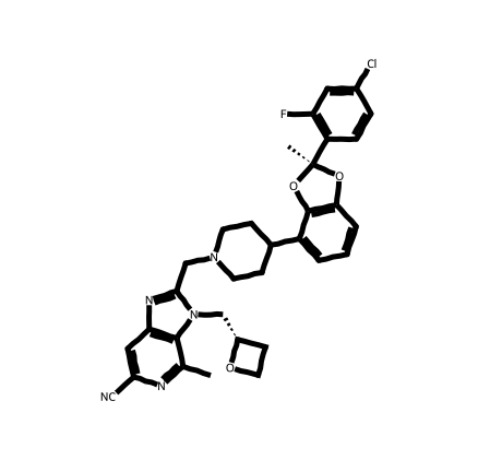 Cc1nc(C#N)cc2nc(CN3CCC(c4cccc5c4O[C@@](C)(c4ccc(Cl)cc4F)O5)CC3)n(C[C@@H]3CCO3)c12